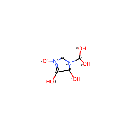 [O-][N+]1=C(O)C(O)N(C(O)O)C1